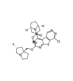 CC(C)(C)OC(=O)N1[C@@H]2CC[C@H]1CN(c1nc(OC[C@@]34CCCN3C[C@H](F)C4)nc3sc4c(Cl)nncc4c13)C2